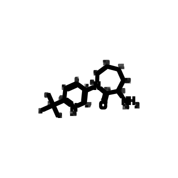 CC(C)(C)c1ccc(N2CCCCC(N)C2=O)cn1